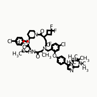 COC[C@@H]1NC(=O)[C@H](C)N(Cc2c(F)cc(Cl)cc2Oc2ccc(-c3cnc(CN(C)C(C)(C)C)n3C)cc2)C(=O)CC(C2CC(F)(F)C2)C(=O)N2CCC[C@@](Cc3ccc(Cl)cc3)(C2)N(C)C1=O